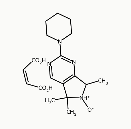 CC1c2nc(N3CCCCC3)ncc2C(C)(C)[NH+]1[O-].O=C(O)/C=C\C(=O)O